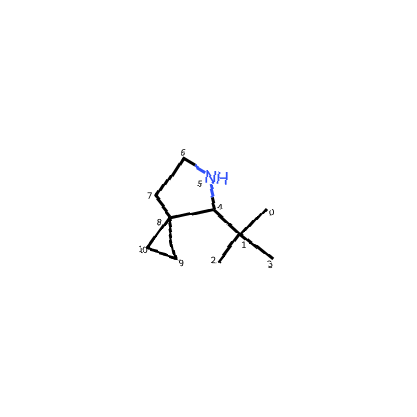 CC(C)(C)C1NCCC12CC2